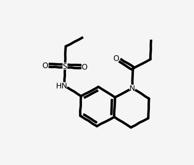 CCC(=O)N1CCCc2ccc(NS(=O)(=O)CC)cc21